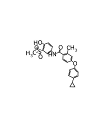 Cc1cc(Oc2ccc(C3CC3)cc2)ccc1C(=O)Nc1ccc(O)c(S(C)(=O)=O)c1